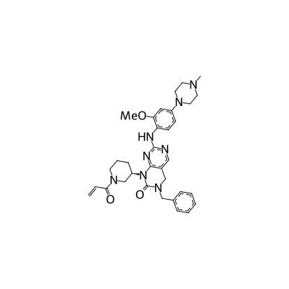 C=CC(=O)N1CCC[C@@H](N2C(=O)N(Cc3ccccc3)Cc3cnc(Nc4ccc(N5CCN(C)CC5)cc4OC)nc32)C1